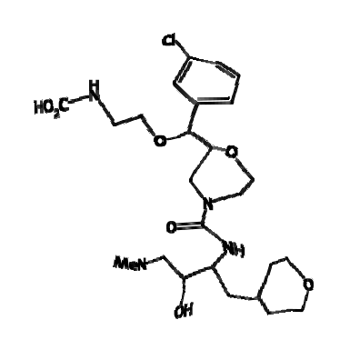 CNCC(O)C(CC1CCOCC1)NC(=O)N1CCOC(C(OCCNC(=O)O)c2cccc(Cl)c2)C1